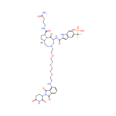 NC(=O)CCCNC(=O)[C@@H]1CC[C@@H]2CCN(CCOCCOCCOCCNc3cccc4c3C(=O)N(C3CCC(=O)NC3=O)C4=O)C[C@H](NC(=O)c3cc4cc(C(F)(F)P(=O)(O)O)ccc4[nH]3)C(=O)N21